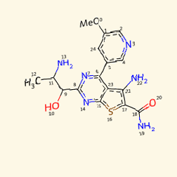 COc1cncc(-c2nc(C(O)C(C)N)nc3sc(C(N)=O)c(N)c23)c1